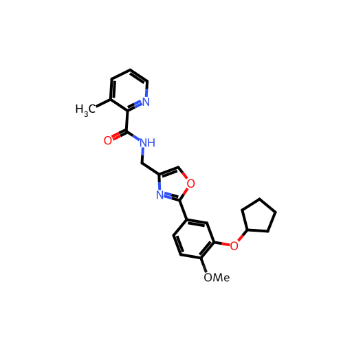 COc1ccc(-c2nc(CNC(=O)c3ncccc3C)co2)cc1OC1CCCC1